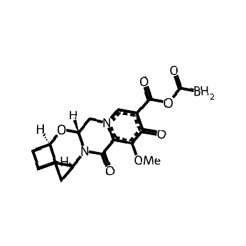 BC(=O)OC(=O)c1cn2c(c(OC)c1=O)C(=O)N1[C@@H](C2)O[C@@H]2CCC23C[C@@H]13